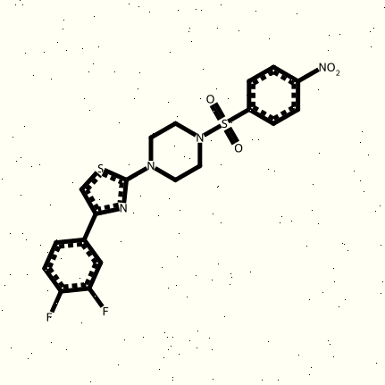 O=[N+]([O-])c1ccc(S(=O)(=O)N2CCN(c3nc(-c4ccc(F)c(F)c4)cs3)CC2)cc1